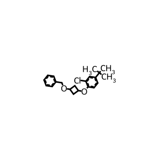 CC(C)(C)c1ccc(OC2CC(OCc3ccccc3)C2)c(Cl)c1